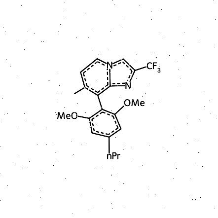 CCCc1cc(OC)c(-c2c(C)ccn3cc(C(F)(F)F)nc23)c(OC)c1